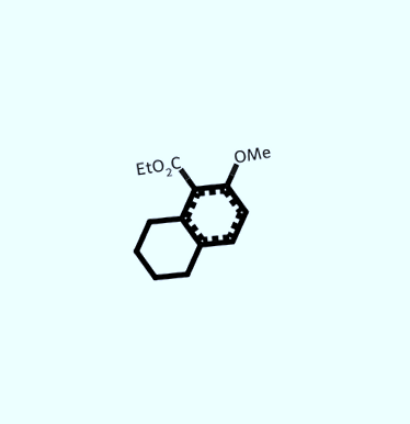 CCOC(=O)c1c(OC)ccc2c1CCCC2